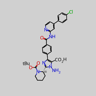 CC(C)(C)OC(=O)N1CCCC[C@H]1c1nc(-c2ccc(C(=O)Nc3cc(-c4ccc(Cl)cc4)ccn3)cc2)c(C(=O)O)n1N